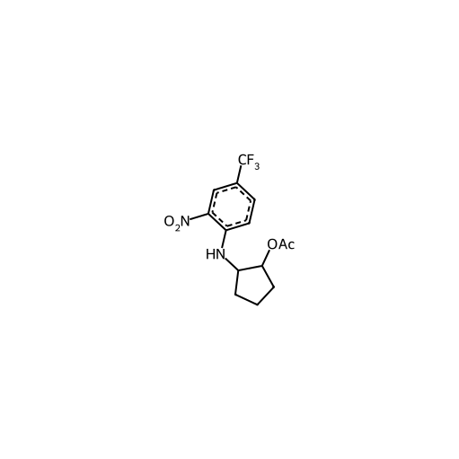 CC(=O)OC1CCCC1Nc1ccc(C(F)(F)F)cc1[N+](=O)[O-]